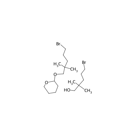 CC(C)(CCCBr)COC1CCCCO1.CC(C)(CO)CCCBr